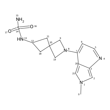 Cn1cc2nccc(N3CC4(CC(NS(N)(=O)=O)C4)C3)c2c1